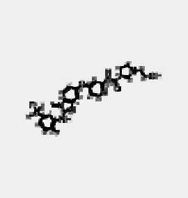 Cn1c(Nc2cc(C(F)(F)F)ccc2F)nc2cc(Oc3ccnc(NC(=O)[C@H]4CCN(CCO)C4)c3)ccc21